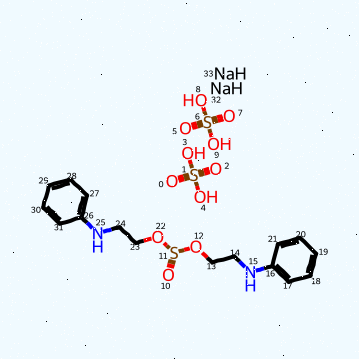 O=S(=O)(O)O.O=S(=O)(O)O.O=S(OCCNc1ccccc1)OCCNc1ccccc1.[NaH].[NaH]